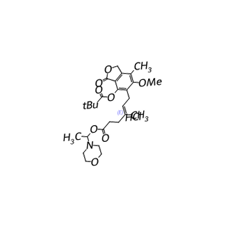 COc1c(C)c2c(c(OC(=O)C(C)(C)C)c1C/C=C(\C)CCC(=O)OC(C)N1CCOCC1)C(=O)OC2.Cl